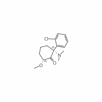 CO[C@@H]1CCC[C@](c2ccccc2Cl)(N(C)C)C1=O